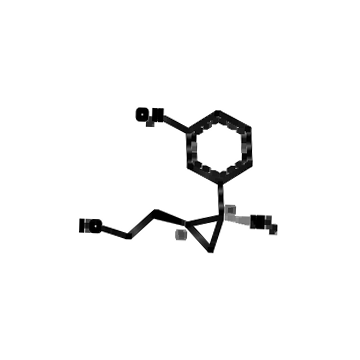 N[C@]1(c2cccc([N+](=O)[O-])c2)C[C@H]1CCO